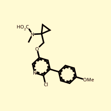 COc1ccc(-c2cc(OCC3(N(C)C(=O)O)CC3)cnc2Cl)cc1